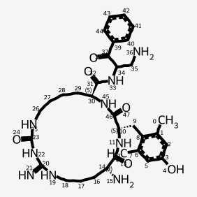 Cc1cc(O)cc(C)c1C[C@@H]1NC(=O)[C@H](N)CCCNC(=N)NC(=O)NCCCC[C@@H](C(=O)NC(CN)C(=O)c2ccccc2)NC1=O